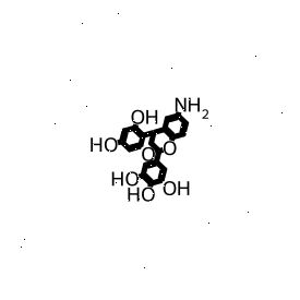 Nc1ccc2c(c1)C1CC(c3cc(O)c(O)c(O)c3)(O2)Oc2cc(O)cc(O)c21